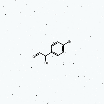 O=CC(O)c1ccc(Br)cc1